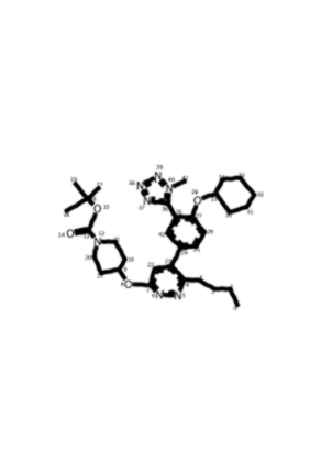 CCCCc1nnc(OC2CCN(C(=O)OC(C)(C)C)CC2)cc1-c1ccc(OC2CCCCC2)c(-c2nnnn2C)c1